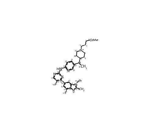 COCCCN1CCC(C(C)c2ccc(Nc3ncc(F)c(-c4cc(F)c5nc(C)n(C(C)C)c5c4)n3)nc2)CC1